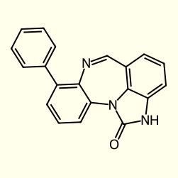 O=c1[nH]c2cccc3c2n1-c1cccc(-c2ccccc2)c1N=C3